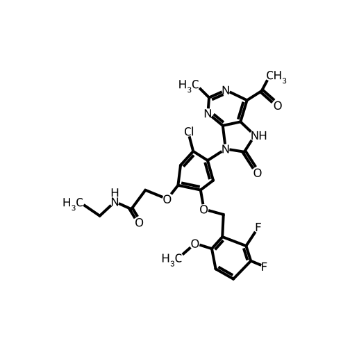 CCNC(=O)COc1cc(Cl)c(-n2c(=O)[nH]c3c(C(C)=O)nc(C)nc32)cc1OCc1c(OC)ccc(F)c1F